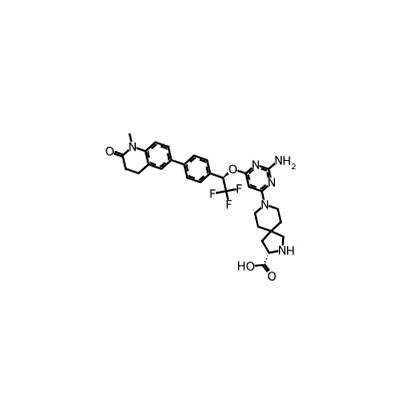 CN1C(=O)CCc2cc(-c3ccc([C@@H](Oc4cc(N5CCC6(CC5)CN[C@H](C(=O)O)C6)nc(N)n4)C(F)(F)F)cc3)ccc21